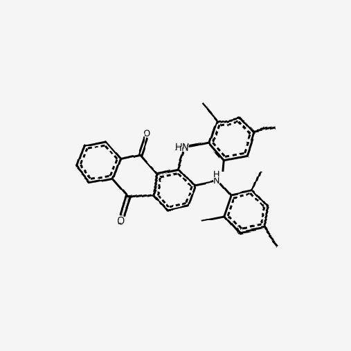 Cc1cc(C)c(Nc2ccc3c(c2Nc2c(C)cc(C)cc2C)C(=O)c2ccccc2C3=O)c(C)c1